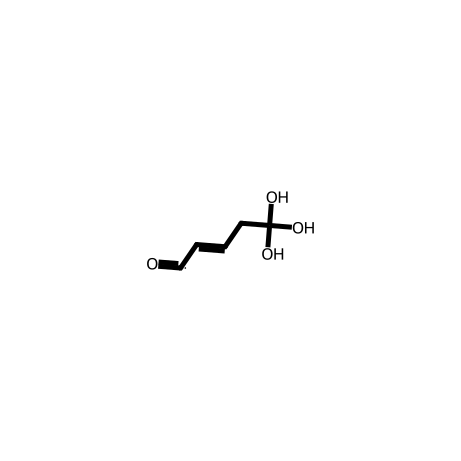 O=[C]C=CCC(O)(O)O